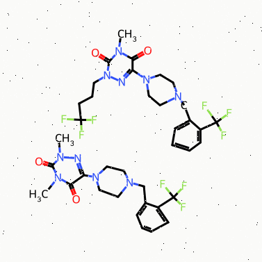 Cn1c(=O)c(N2CCN(Cc3ccccc3C(F)(F)F)CC2)nn(CCCC(F)(F)F)c1=O.Cn1nc(N2CCN(Cc3ccccc3C(F)(F)F)CC2)c(=O)n(C)c1=O